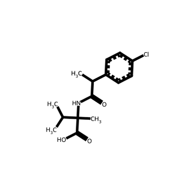 CC(C(=O)NC(C)(C(=O)O)C(C)C)c1ccc(Cl)cc1